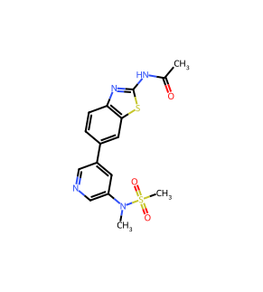 CC(=O)Nc1nc2ccc(-c3cncc(N(C)S(C)(=O)=O)c3)cc2s1